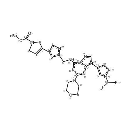 CCCCOC(=O)N1CC=C(c2cnc(CNc3nc(N4CCOCC4)nc4c3ncn4-c3cnn(C(F)F)c3)s2)C1